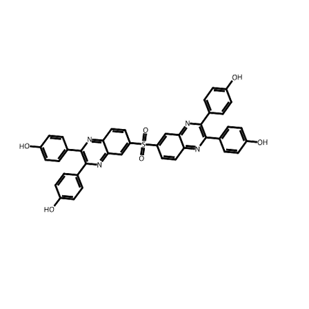 O=S(=O)(c1ccc2nc(-c3ccc(O)cc3)c(-c3ccc(O)cc3)nc2c1)c1ccc2nc(-c3ccc(O)cc3)c(-c3ccc(O)cc3)nc2c1